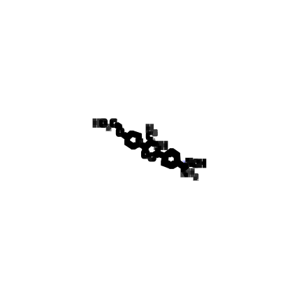 C[C@H](NC(=O)c1ccc(/C(N)=N/O)cc1)C(=O)N1CCC(OCC(=O)O)CC1